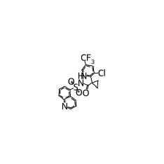 O=C(NS(=O)(=O)c1cccc2ncccc12)C1(c2ncc(C(F)(F)F)cc2Cl)CC1